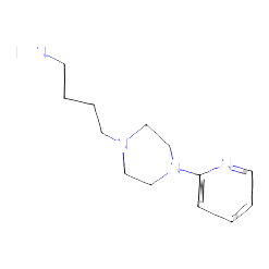 NCCCCN1CCN(c2ccccn2)CC1